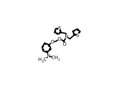 CN(C)c1cccc(OCOC(=O)N(Cc2cccs2)Cc2cccs2)c1